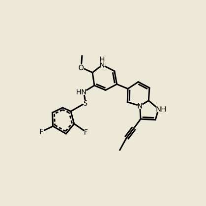 CC#CC1=CNC2C=CC(C3=CNC(OC)C(NSc4ccc(F)cc4F)=C3)=CN12